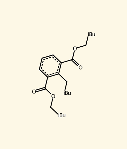 CCC(C)COC(=O)c1cccc(C(=O)OCC(C)CC)c1CC(C)CC